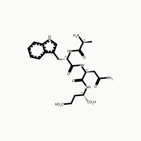 C[C@H](N)C(=O)N[C@@H](Cc1c[nH]c2ccccc12)C(=O)N[C@@H](CC(N)=O)C(=O)N[C@@H](CCC(=O)O)C(=O)O